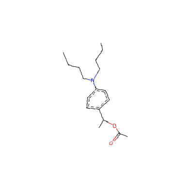 CCCCN(CCCC)c1ccc(C(C)OC(C)=O)cc1